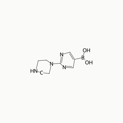 OB(O)c1cnc(N2CCNCC2)nc1